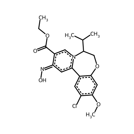 CCOC(=O)c1cn2c(cc1=NO)-c1cc(Cl)c(OC)cc1OCC2C(C)C